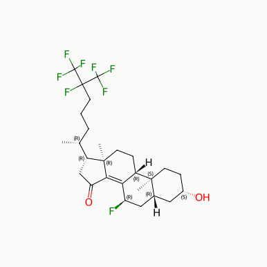 C[C@H](CCCC(F)(C(F)(F)F)C(F)(F)F)[C@H]1CC(=O)C2=C3[C@H](F)C[C@H]4C[C@@H](O)CC[C@]4(C)[C@H]3CC[C@@]21C